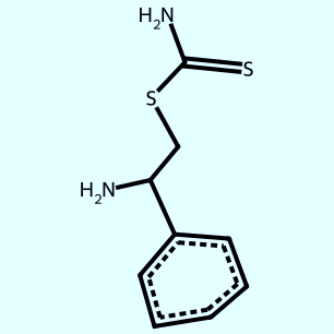 NC(=S)SCC(N)c1ccccc1